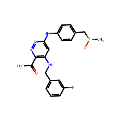 CC(=O)c1nnc(Nc2ccc(C[S+](C)[O-])cc2)cc1NCc1cccc(F)c1